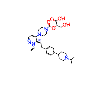 C=CN1N=CC=C(N2CCN(C(=O)OC(CO)C(=O)O)CC2)/C1=C/Cc1ccc(C2CCN(C(C)C)CC2)cc1